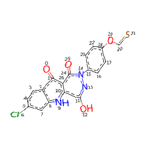 O=c1c2ccc(Cl)cc2[nH]c2c(O)nn(-c3ccc(OC=S)cc3)c(=O)c12